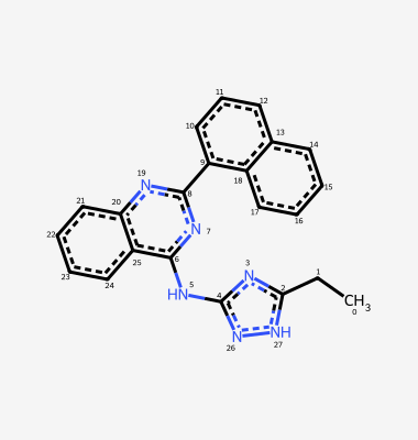 CCc1nc(Nc2nc(-c3cccc4ccccc34)nc3ccccc23)n[nH]1